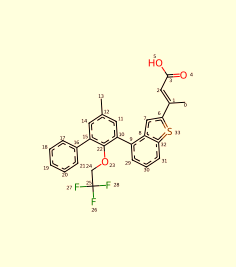 CC(=CC(=O)O)c1cc2c(-c3cc(C)cc(-c4ccccc4)c3OCC(F)(F)F)cccc2s1